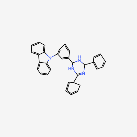 C1=C=CC(C2=NC(c3ccccc3)NC(c3cccc(-n4c5ccccc5c5ccccc54)c3)N2)CC=1